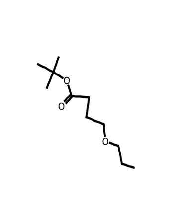 CCCOCCCC(=O)OC(C)(C)C